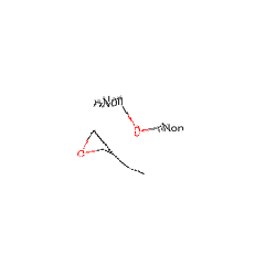 CC1CO1.CCCCCCCCCOCCCCCCCCC